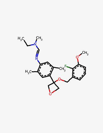 CCN(C)C=Nc1cc(C)c(C2(OCc3cccc(OC)c3F)COC2)cc1C